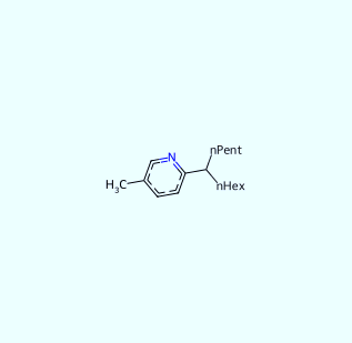 CCCCCCC(CCCCC)c1ccc(C)cn1